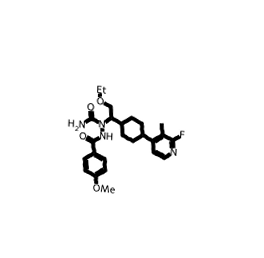 CCOCC(C1CCC(c2ccnc(F)c2C)CC1)N(NC(=O)c1ccc(OC)cc1)C(N)=O